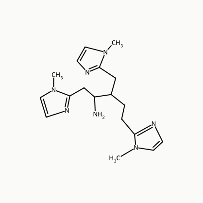 Cn1ccnc1CCC(Cc1nccn1C)C(N)Cc1nccn1C